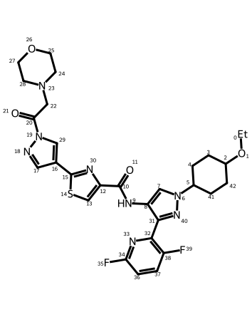 CCOC1CCC(n2cc(NC(=O)c3csc(-c4cnn(C(=O)CN5CCOCC5)c4)n3)c(-c3nc(F)ccc3F)n2)CC1